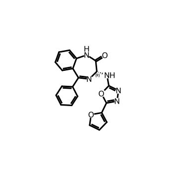 O=C1Nc2ccccc2C(c2ccccc2)=N[C@H]1Nc1nnc(-c2ccco2)o1